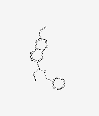 O=Cc1ccc2cc(N(C=O)OCc3ccccc3)ccc2c1